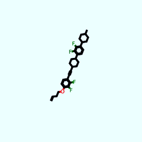 C=CCCOc1ccc(C#CC2CCC(c3ccc(C4CCC(C)CC4)c(F)c3F)CC2)c(F)c1F